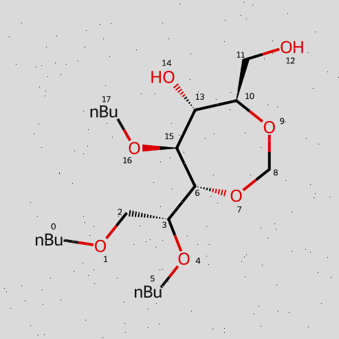 CCCCOC[C@@H](OCCCC)[C@H]1OCO[C@H](CO)[C@@H](O)[C@@H]1OCCCC